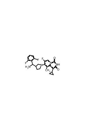 Cc1c(N2CCC(C(N)c3c(F)cccc3F)C2)c(F)cn2c(=O)[nH]c(=O)c(C3CC3)c12